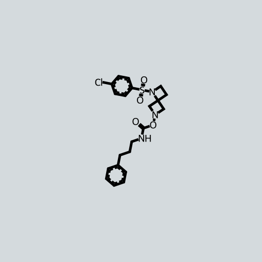 O=C(NCCCc1ccccc1)ON1CC2(CCN2S(=O)(=O)c2ccc(Cl)cc2)C1